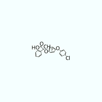 CC(Oc1ccc(Oc2ccc(Cl)cc2)cc1)(C(=O)O)c1ccccc1